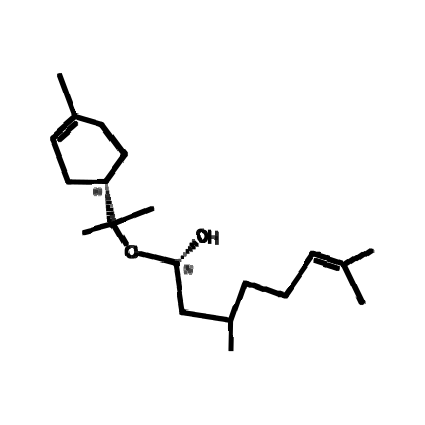 CC(C)=CCCC(C)C[C@@H](O)OC(C)(C)[C@@H]1CC=C(C)CC1